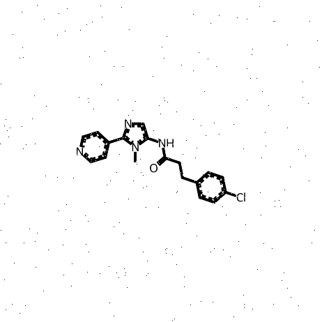 Cn1c(NC(=O)CCc2ccc(Cl)cc2)cnc1-c1ccncc1